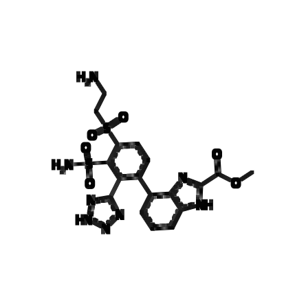 COC(=O)c1nc2c(-c3ccc(S(=O)(=O)CCN)c(S(N)(=O)=O)c3-c3nn[nH]n3)cccc2[nH]1